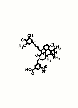 Cc1cc(OCCCc2c3n(c4c(-c5c(C)nn(C)c5C)c(Cl)ccc24)CCCN(Cc2cc(C(=O)O)cc([N+](=O)[O-])c2)C3=O)cc(C)c1Cl